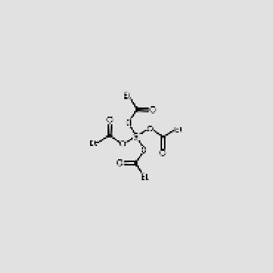 CCC(=O)O[Si](OC(=O)CC)(OC(=O)CC)OC(=O)CC